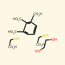 O=C(O)CS.O=C(O)CS.O=C(O)c1cccc(C(=O)O)c1C(=O)O.OCCO